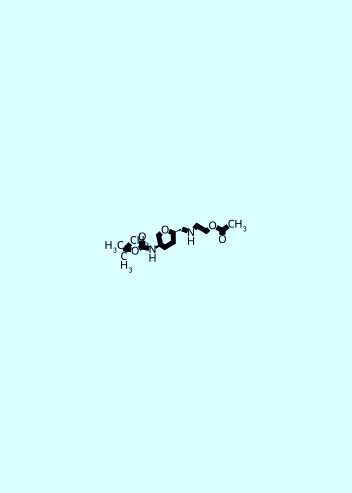 CC(=O)OCCNC[C@@H]1CC[C@@H](NC(=O)OC(C)(C)C)CO1